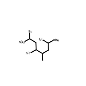 CCCCC(CC)C[C](C)C(CCC)CC(CC)CCCC